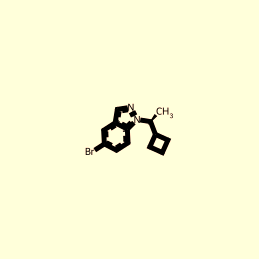 C[C@@H](C1CCC1)n1ncc2cc(Br)ccc21